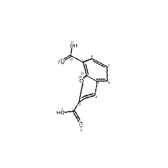 O=C(O)c1cc2cccc(C(=O)O)c2o1